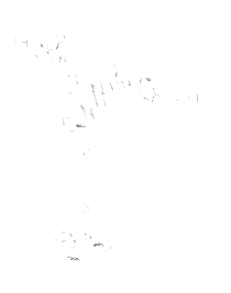 CC(C)C(NC(=O)CCOCCOCCOCCN1C(=O)C=CC1=O)C(=O)NC(CCCNC(N)=O)C(=O)Nc1ccc(CO)cc1